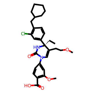 CC[C@@]1(c2ccc(CC3CCCCC3)c(Cl)c2)NC(=O)N(c2ccc(C(=O)O)c(OC)c2)C=C1CCOC